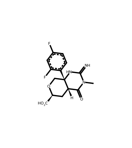 CN1C(=N)N[C@@]2(c3ccc(F)cc3F)CO[C@H](C(=O)O)C[C@H]2C1=O